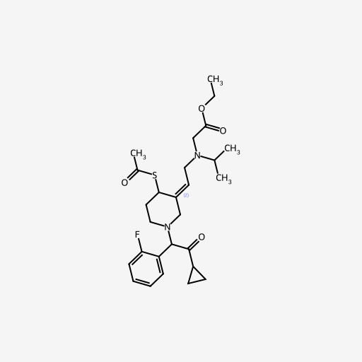 CCOC(=O)CN(C/C=C1/CN(C(C(=O)C2CC2)c2ccccc2F)CCC1SC(C)=O)C(C)C